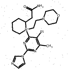 CCc1c(C)nc(-n2ccnc2)nc1[N+]1(CCN2CCOCC2)CCCCC1CC(N)=O